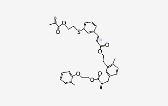 C=C(C)C(=O)OCCSc1cccc(/C=C/C(=O)OCCc2cc(CC(=C)C(=O)OCCOc3ccccc3C)ccc2C)c1